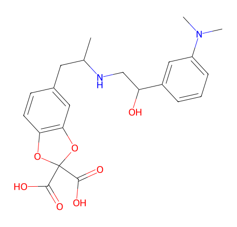 CC(Cc1ccc2c(c1)OC(C(=O)O)(C(=O)O)O2)NCC(O)c1cccc(N(C)C)c1